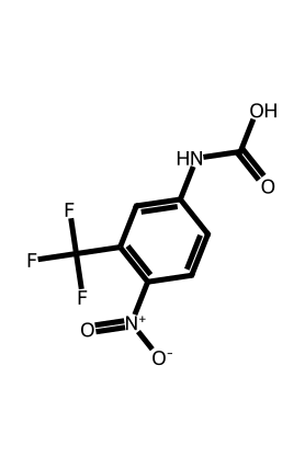 O=C(O)Nc1ccc([N+](=O)[O-])c(C(F)(F)F)c1